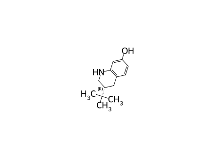 CC(C)(C)[C@@H]1CNc2cc(O)ccc2C1